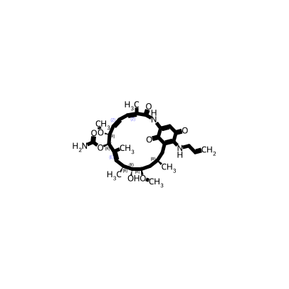 C=CCNC1=C2C[C@@H](C)C[C@@H](OC)[C@H](O)[C@H](C)/C=C(\C)[C@@H](OC(N)=O)[C@H](OC)/C=C\C=C(\C)C(=O)NC(=CC1=O)C2=O